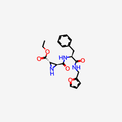 CCOC(=O)[C@H]1N[C@@H]1C(=O)N[C@@H](Cc1ccccc1)C(=O)NCc1ccco1